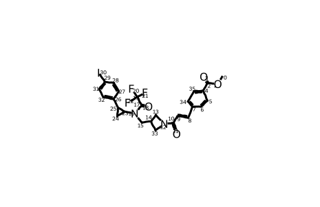 COC(=O)c1ccc(/C=C/C(=O)N2CC(CN(C(=O)C(F)(F)F)C3CC3c3ccc(I)cc3)C2)cc1